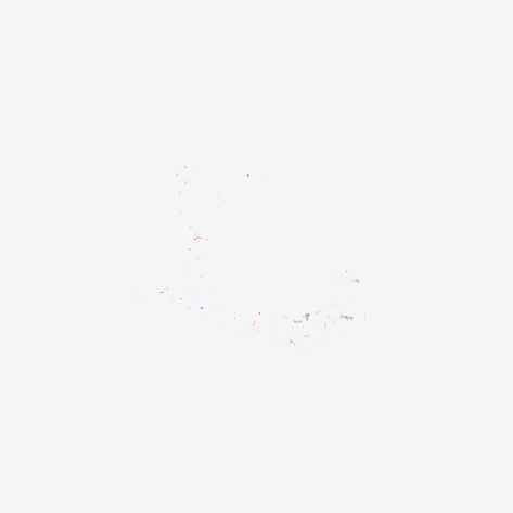 CCCCCCCCC(CCCCCC)OC(=O)CCCCCCN(CCCCC)CCCCCC(=O)OC1CCC2(C)C(=CCC3C2CCC2(C)C(C(C)CCCC(C)C)CCC32)C1